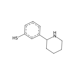 Sc1cccc(C2CCCCN2)c1